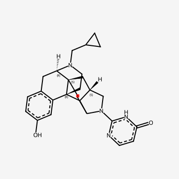 O=c1ccnc(N2C[C@H]3C[C@@]45CCC2C3[C@@]42CCN(CC3CC3)[C@@H]5Cc3ccc(O)cc32)[nH]1